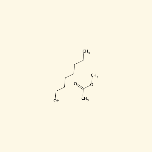 CCCCCCCO.COC(C)=O